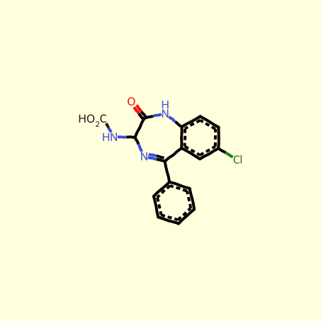 O=C(O)NC1N=C(c2ccccc2)c2cc(Cl)ccc2NC1=O